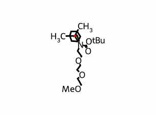 COCCOCCOCCN(C(=O)OC(C)(C)C)C1=C2C3CC(C)(C1)CC2(C)C3